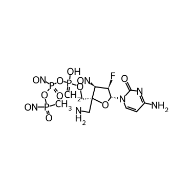 C=P(O)(OC[C@@]1(CN)O[C@@H](n2ccc(N)nc2=O)[C@H](F)[C@@H]1N=O)OP(=O)(N=O)OP(C)(=O)N=O